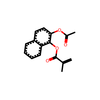 C=C(C)C(=O)Oc1c(OC(C)=O)ccc2ccccc12